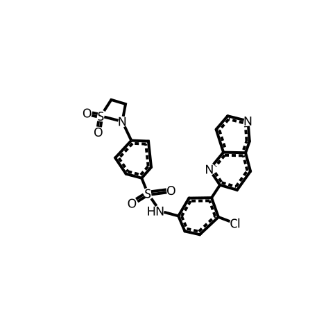 O=S(=O)(Nc1ccc(Cl)c(-c2ccc3cnccc3n2)c1)c1ccc(N2CCS2(=O)=O)cc1